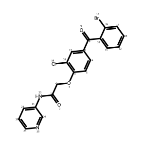 O=C(COc1ccc(C(=O)c2ccccc2Br)cc1Cl)Nc1cccnc1